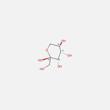 OC[C@]1(O)OC[C@@H](O)[C@H](O)[C@@H]1O